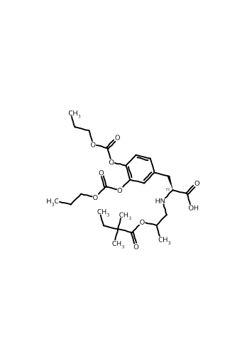 CCCOC(=O)Oc1ccc(C[C@H](NCC(C)OC(=O)C(C)(C)CC)C(=O)O)cc1OC(=O)OCCC